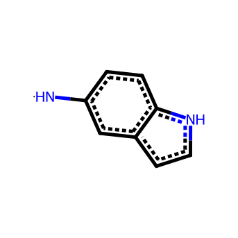 [NH]c1ccc2[nH]ccc2c1